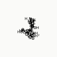 Nc1nc2c(ncn2[C@@H]2O[C@H](OC[PH](=O)O)[C@H](O)[C@@H]2OP(=O)(O)OC[C@H]2O[C@@H](n3cnc4c(N)nc(F)nc43)[C@@H](F)[C@H]2O)c(=O)[nH]1